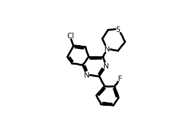 Fc1ccccc1-c1nc(N2CCSCC2)c2cc(Cl)ccc2n1